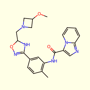 COC1CN(CC2NC(c3ccc(C)c(NC(=O)c4cnc5ccccn45)c3)=NO2)C1